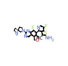 CN1CC[C@]12CCN(c1ncc3c4c(c(-c5ncc(F)c6sc(N)c(C#N)c56)c(F)c3n1)COC4)C2